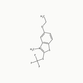 CCOc1ccc2sc(SC(F)(F)F)[n+](C)c2c1